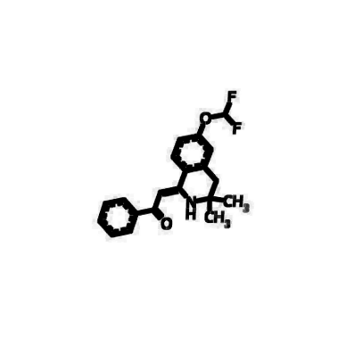 CC1(C)Cc2cc(OC(F)F)ccc2/C(=C/C(=O)c2ccccc2)N1